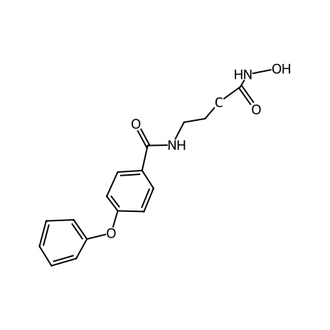 O=C(CCCNC(=O)c1ccc(Oc2ccccc2)cc1)NO